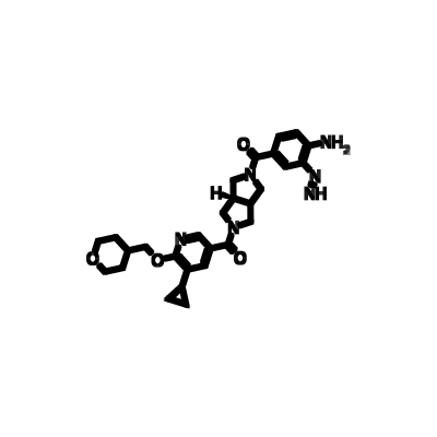 N=Nc1cc(C(=O)N2CC3CN(C(=O)c4cnc(OCC5CCOCC5)c(C5CC5)c4)C[C@@H]3C2)ccc1N